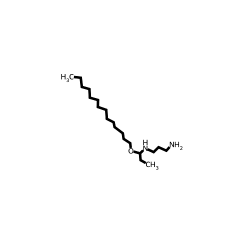 CCCCCCCCCCCCCCOC(CC)NCCCN